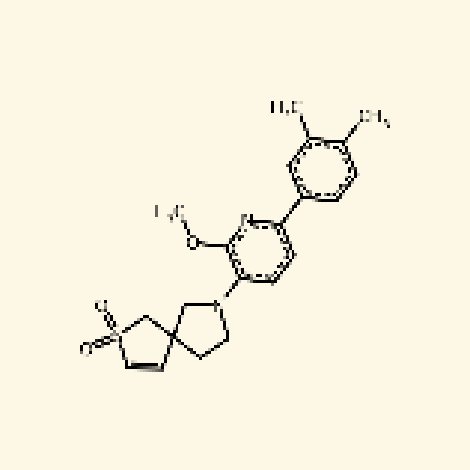 COc1nc(-c2ccc(C)c(C)c2)ccc1N1CCC2(C=CS(=O)(=O)C2)C1